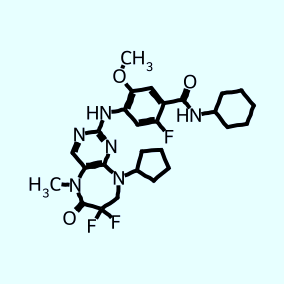 COc1cc(C(=O)NC2CCCCC2)c(F)cc1Nc1ncc2c(n1)N(C1CCCC1)CC(F)(F)C(=O)N2C